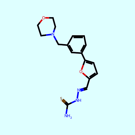 NC(=S)NN=Cc1ccc(-c2cccc(CN3CCOCC3)c2)o1